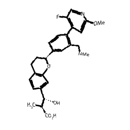 CNCc1cc([C@@H]2CCc3ccc([C@H](O)[C@H](C)C(=O)O)cc3O2)ccc1-c1cc(OC)ncc1F